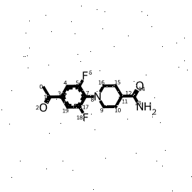 CC(=O)c1cc(F)c(N2CCC(C(N)=O)CC2)c(F)c1